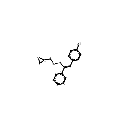 Clc1ccc(C=C(COCC2CO2)c2ccccc2)cc1